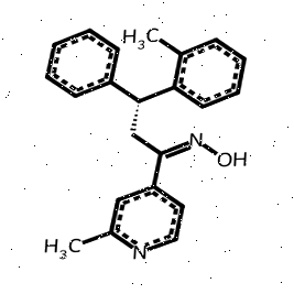 Cc1cc(/C(C[C@H](c2ccccc2)c2ccccc2C)=N\O)ccn1